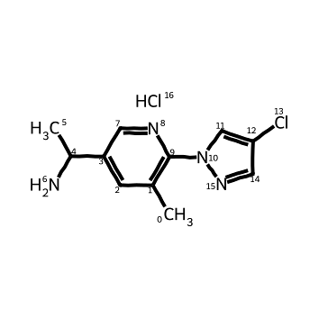 Cc1cc(C(C)N)cnc1-n1cc(Cl)cn1.Cl